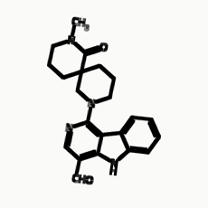 CN1CCCC2(CCCN(c3ncc(C=O)c4[nH]c5ccccc5c34)C2)C1=O